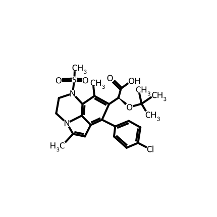 Cc1c([C@H](OC(C)(C)C)C(=O)O)c(-c2ccc(Cl)cc2)c2cc(C)n3c2c1N(S(C)(=O)=O)CC3